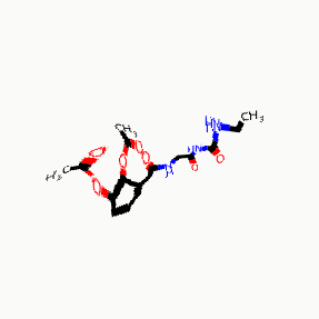 CCNC(=O)NC(=O)CNC(=O)c1cccc(OC(C)=O)c1OC(C)=O